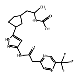 CC(CC1CCC(c2cc(NC(=O)Cc3cnc(C(F)(F)F)cn3)n[nH]2)C1)NC(=O)O